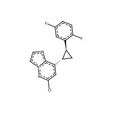 Fc1ccc(F)c([C@H]2C[C@@H]2c2cc(Cl)nn3ccnc23)c1